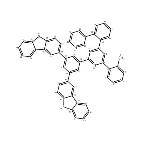 Cc1ccccc1-c1cc(-c2ccccc2-c2cccnc2)nc(-c2cc(-c3ccc4sc5ccccc5c4c3)cc(-c3ccc4sc5ccccc5c4c3)c2)n1